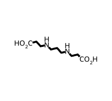 O=C(O)CCNCCCNCCC(=O)O